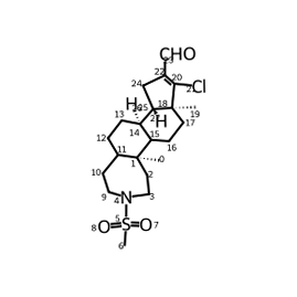 C[C@]12CCN(S(C)(=O)=O)CCC1CC[C@@H]1C2CC[C@]2(C)C(Cl)=C(C=O)C[C@@H]12